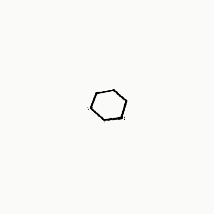 [C]1[CH][C]CCC1